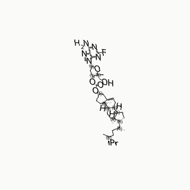 CC(C)[C@H](C)CC[C@@H](C)[C@H]1CC[C@H]2[C@@H]3CC=C4C[C@@H](OC(=O)O[C@H]5C[C@H](n6cnc7c(N)nc(F)nc76)O[C@]5(C)CO)CC[C@]4(C)[C@H]3CC[C@]12C